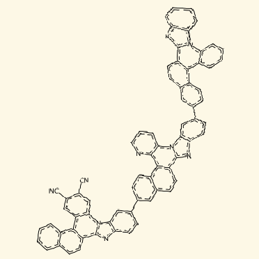 N#Cc1cc2c3c4ccccc4ccc3c3nc4ccc(-c5ccc6c(ccc7c6c6ncccc6n6c8cc(-c9ccc%10c(ccc%11c%10c%10ccccc%10n%10c%12ccccc%12nc%11%10)c9)ccc8nc76)c5)cc4n3c2cc1C#N